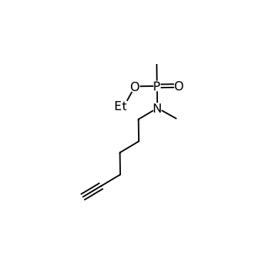 C#CCCCCN(C)P(C)(=O)OCC